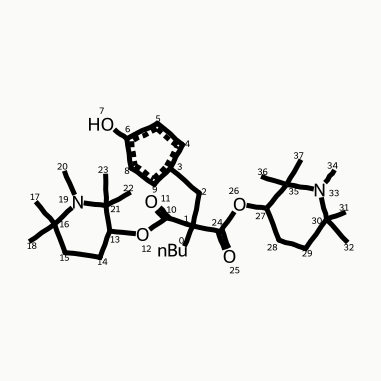 CCCCC(Cc1ccc(O)cc1)(C(=O)OC1CCC(C)(C)N(C)C1(C)C)C(=O)OC1CCC(C)(C)N(C)C1(C)C